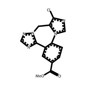 COC(=O)c1ccc2c(c1)-c1ncnn1Cc1c(Cl)ncn1-2